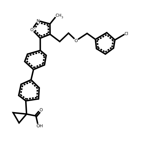 Cc1noc(-c2ccc(-c3ccc(C4(C(=O)O)CC4)cc3)cc2)c1CCOCc1cccc(Cl)c1